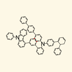 C1=CCC(c2ccccc2)C(c2ccc(N(c3ccc(-c4ccc(-c5ccccc5)cc4)cc3)c3ccccc3-c3cccc(-c4cccc5c4c4ccccc4n5-c4ccccc4)c3)cc2)=C1